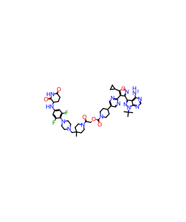 CC1(CN2CCN(c3c(F)cc(NC4CCC(=O)NC4=O)cc3F)CC2)CCN(C(=O)COC(=O)N2CCC(c3cnc(-c4c(-c5nn(C(C)(C)C)c6ncnc(N)c56)noc4C4CC4)nc3)CC2)CC1